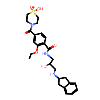 CCOc1cc(C(=O)N2CCS(O)(O)CC2)ccc1C(=O)NCC(O)CNC1Cc2ccccc2C1